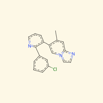 Cc1cc2nccn2cc1-c1cccnc1-c1cccc(Cl)c1